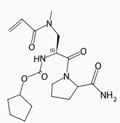 C=CC(=O)N(C)C[C@H](NC(=O)OC1CCCC1)C(=O)N1CCCC1C(N)=O